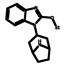 CCOc1nc2ccccc2n1C1CC2CCC(C1)N2